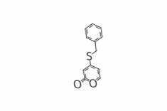 O=c1cc(SCc2ccccc2)cco1